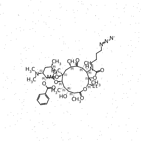 CC[C@H]1OC(=O)[C@H](C)[C@H](O)[C@H](C)[C@@H](O[C@@H]2O[C@H](C)C[C@H](N(C)C)[C@H]2OC(=O)c2ccccc2)[C@@](C)(OC)C[C@@H](C)C(=O)[C@H](C)[C@H]2N(CCCCN=[N+]=[N-])C(=O)O[C@]12C